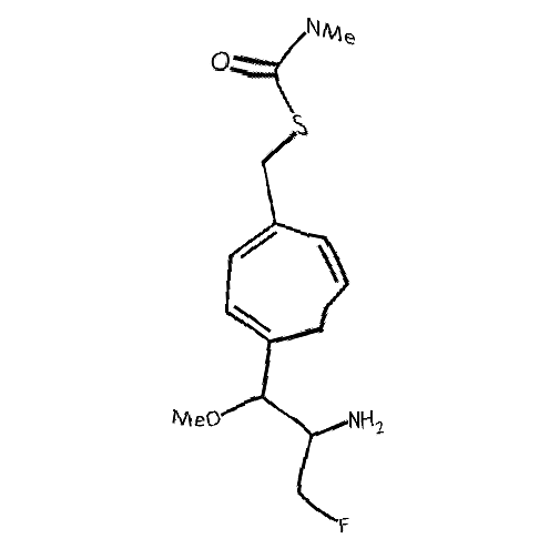 CNC(=O)SCC1=CC=C(C(OC)C(N)CF)CC=C1